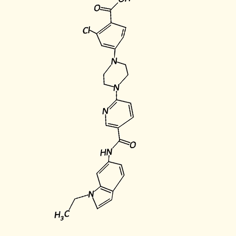 CCn1ccc2ccc(NC(=O)c3ccc(N4CCN(c5ccc(C(=O)O)c(Cl)c5)CC4)nc3)cc21